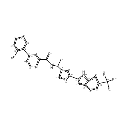 CC(NC(=O)c1cc(-c2cccnc2F)ncn1)c1cc(-c2nc3ccc(C(F)(F)F)cc3[nH]2)on1